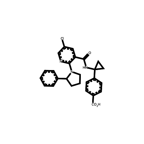 O=C(O)c1ccc(C2(NC(=O)c3cc(Cl)cnc3N3CCCC3c3ccccc3)CC2)cc1